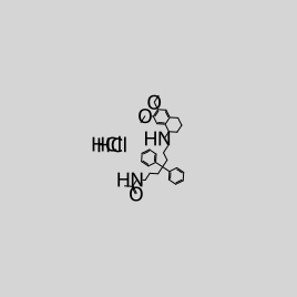 COc1cc2c(cc1OC)C(NCCCC(CCCNC(C)=O)(c1ccccc1)c1ccccc1)CCC2.Cl.Cl